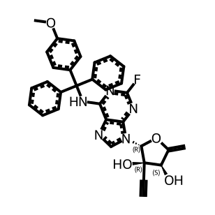 C#C[C@@]1(O)[C@H](O)C(=C)O[C@H]1n1cnc2c(NC(c3ccccc3)(c3ccccc3)c3ccc(OC)cc3)nc(F)nc21